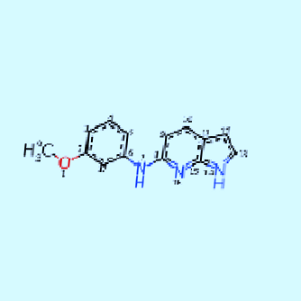 COc1cccc(Nc2ccc3cc[nH]c3n2)c1